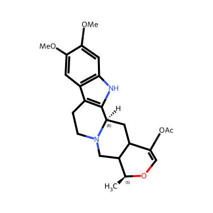 COc1cc2[nH]c3c(c2cc1OC)CCN1CC2C(C[C@H]31)C(OC(C)=O)=CO[C@H]2C